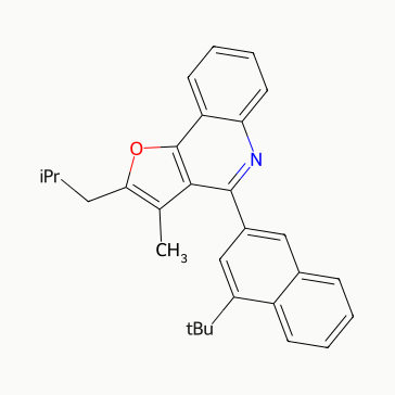 Cc1c(CC(C)C)oc2c1c(-c1cc(C(C)(C)C)c3ccccc3c1)nc1ccccc12